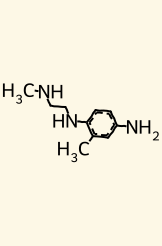 CNCCNc1ccc(N)cc1C